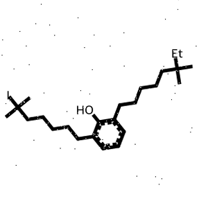 CCC(C)(C)CCCCCc1cccc(CCCCCC(C)(C)I)c1O